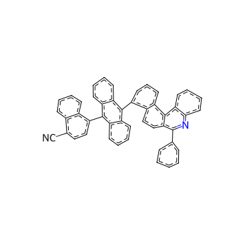 N#Cc1ccc(-c2c3ccccc3c(-c3cccc4c3ccc3c(-c5ccccc5)nc5ccccc5c34)c3ccccc23)c2ccccc12